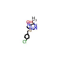 CC1=NN=C[N+]2(SCc3ccc(Cl)cc3)C=CN(O)C12